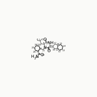 CC(C)CC1C(=O)NC(C2Cc3ccccc3C2)C(=O)N1Cc1ccccc1C(N)=O